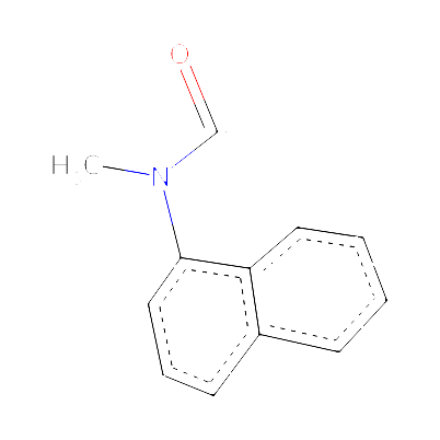 CN([C]=O)c1cccc2ccccc12